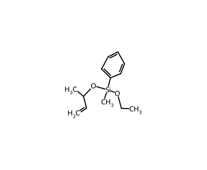 C=CC(C)O[Si](C)(OCC)c1ccccc1